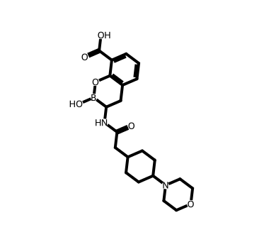 O=C(CC1CCC(N2CCOCC2)CC1)NC1Cc2cccc(C(=O)O)c2OB1O